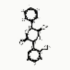 O=C1OC(c2ccccc2Cl)C(=O)OC1c1ccccc1